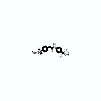 CNS(=O)(=O)c1ccc(CC(=O)Nc2ccc(C(O)(C(F)(F)F)C(F)(F)F)cc2)cc1